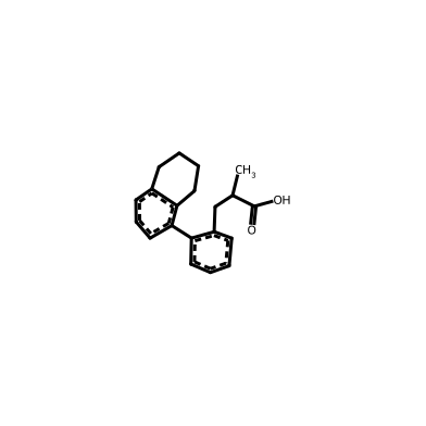 CC(Cc1ccccc1-c1cccc2c1CCCC2)C(=O)O